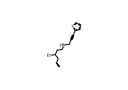 C=CCC(CC)CCNCC#Cc1cccs1